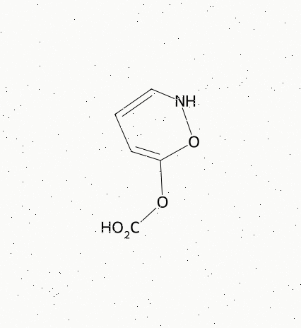 O=C(O)OC1=CC=CNO1